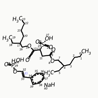 CCCCC(CC)COC(=O)CC(C(=O)OCC(CC)CCCC)S(=O)(=O)O.O=[PH](O)O/C=C/c1ccccc1.[NaH]